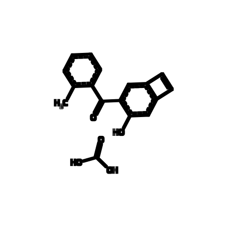 Cc1ccccc1C(=O)c1cc2c(cc1O)C=C2.O=C(O)O